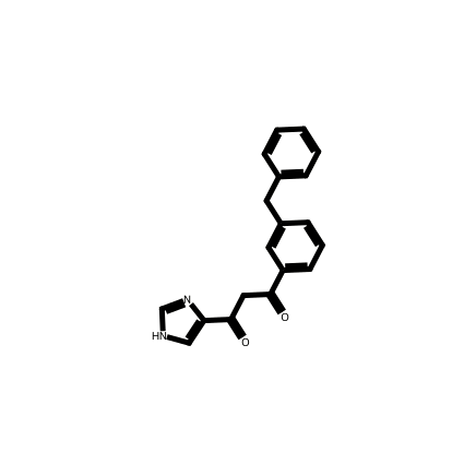 O=C(CC(=O)c1c[nH]cn1)c1cccc(Cc2ccccc2)c1